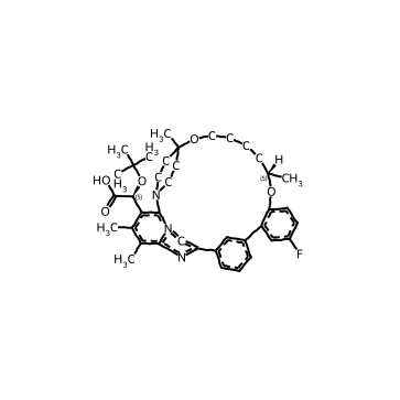 Cc1c([C@H](OC(C)(C)C)C(=O)O)c2n3cc(nc3c1C)-c1cccc(c1)-c1cc(F)ccc1O[C@@H](C)CCCCOC1(C)CCN2CC1